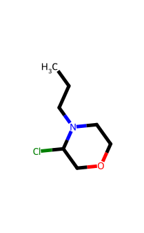 CCCN1CCOCC1Cl